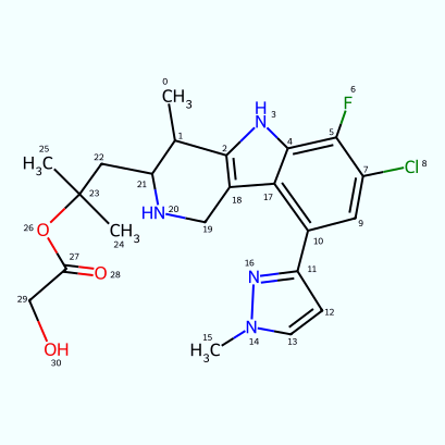 CC1c2[nH]c3c(F)c(Cl)cc(-c4ccn(C)n4)c3c2CNC1CC(C)(C)OC(=O)CO